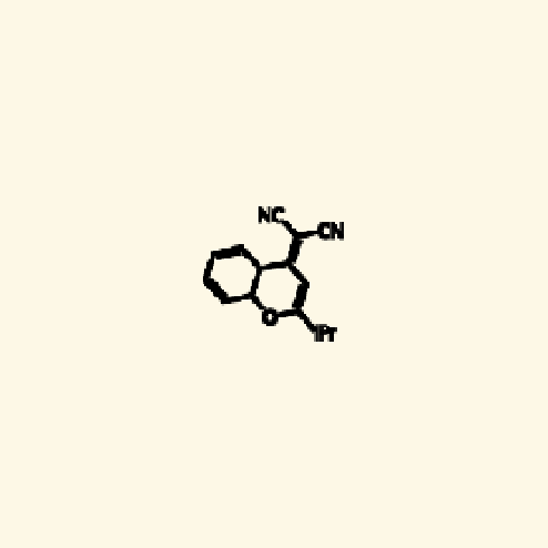 CC(C)C1=CC(=C(C#N)C#N)C2C=CC=CC2O1